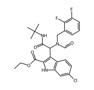 CCOC(=O)c1[nH]c2cc(Cl)ccc2c1C(C(=O)NC(C)(C)C)N(C=O)Cc1cccc(F)c1F